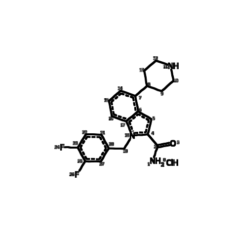 Cl.NC(=O)c1cc2c(C3CCNCC3)cccc2n1Cc1ccc(F)c(F)c1